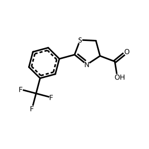 O=C(O)C1CSC(c2cccc(C(F)(F)F)c2)=N1